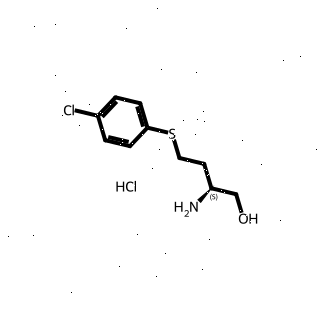 Cl.N[C@H](CO)CCSc1ccc(Cl)cc1